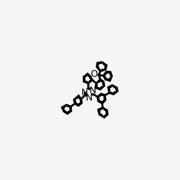 c1ccc(-c2ccc(-c3nc(-c4cc(-c5ccccc5)cc(-c5ccccc5)c4)nc(-c4cccc5c4-c4ccccc4C(c4ccccc4)(c4ccccc4)O5)n3)cc2)cc1